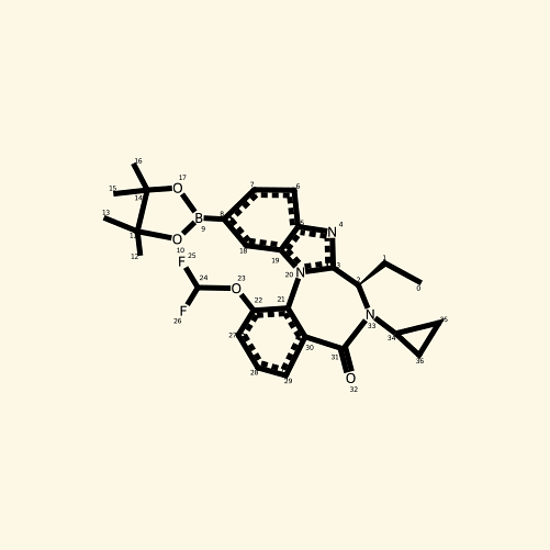 CC[C@@H]1c2nc3ccc(B4OC(C)(C)C(C)(C)O4)cc3n2-c2c(OC(F)F)cccc2C(=O)N1C1CC1